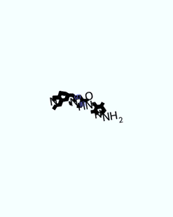 C=N/C(=C\C(=C/C)C(=O)NCc1c(C)cc(N)nc1C)Cc1ccc2cnc(C)cc2c1